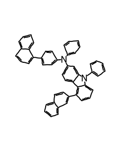 c1ccc(N(c2ccc(-c3cccc4ccccc34)cc2)c2ccc3c4c(-c5ccc6ccccc6c5)cccc4n(-c4ccccc4)c3c2)cc1